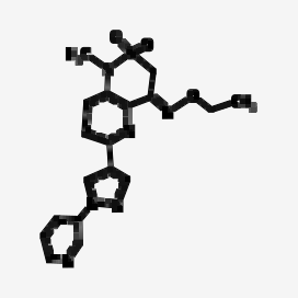 CCON=C1CS(=O)(=O)N(C)c2ccc(-c3cnn(-c4cccnc4)c3)nc21